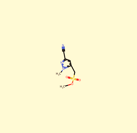 COS(=O)(=O)Cc1cc(C#N)nn1C